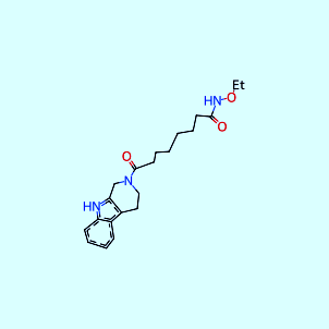 CCONC(=O)CCCCCCC(=O)N1CCc2c([nH]c3ccccc23)C1